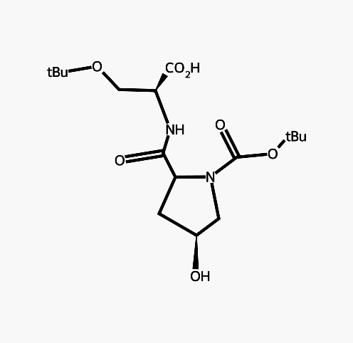 CC(C)(C)OC[C@H](NC(=O)C1C[C@H](O)CN1C(=O)OC(C)(C)C)C(=O)O